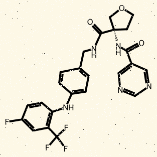 O=C(N[C@@]1(C(=O)NCc2ccc(Nc3ccc(F)cc3C(F)(F)F)cc2)CCOC1)c1cncnc1